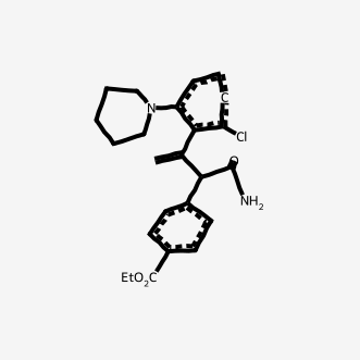 C=C(c1c(Cl)cccc1N1CCCCC1)C(C(N)=O)c1ccc(C(=O)OCC)cc1